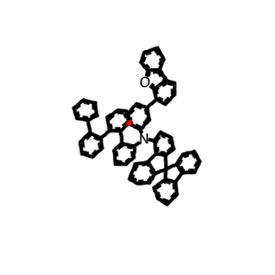 c1ccc(-c2ccccc2-c2ccccc2-c2ccccc2N(c2cccc(-c3cccc4c3oc3ccccc34)c2)c2cccc3c2-c2ccccc2C32c3ccccc3-c3ccccc32)cc1